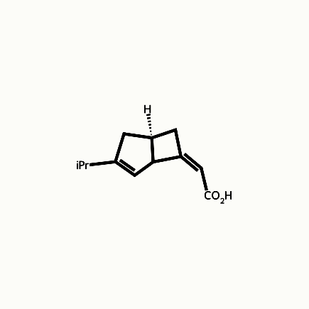 CC(C)C1=CC2/C(=C\C(=O)O)C[C@@H]2C1